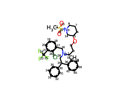 C[C@H](CCO[C@@H]1CCCN(S(C)(=O)=O)C1)N(Cc1cccc(C(F)(F)F)c1Cl)CC(c1ccccc1)c1ccccc1